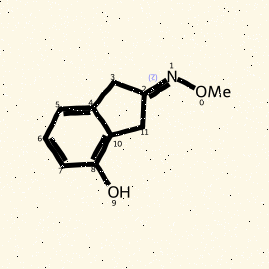 CO/N=C1/Cc2cccc(O)c2C1